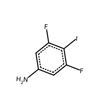 Nc1cc(F)c(I)c(F)c1